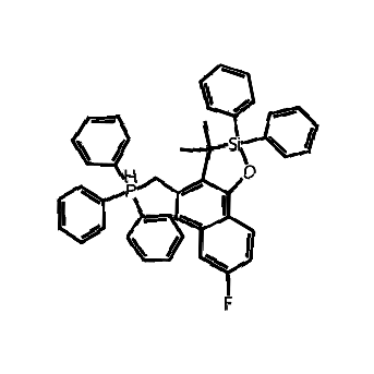 CC1(C)c2c(C[PH](c3ccccc3)(c3ccccc3)c3ccccc3)cc3cc(F)ccc3c2O[Si]1(c1ccccc1)c1ccccc1